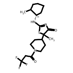 CC1CCCC[C@@H]1NC1=NC(=O)C(C)(C2CCN(C(=O)CC(F)(F)F)CC2)S1